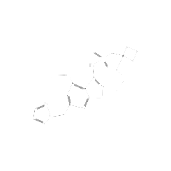 COCC1(CS(=O)(=O)Nc2noc3cc(Cn4cccn4)cc(OC)c23)CCC1